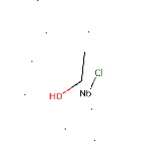 CCO.[Cl][Nb]